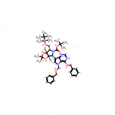 CC(C)(C)OC(=O)N1[C@H](CO[Si](C)(C)C(C)(C)C)[C@H]2OC(C)(C)O[C@H]2[C@@H]1c1cn(COCc2ccccc2)c2c(OCc3ccccc3)ncnc12